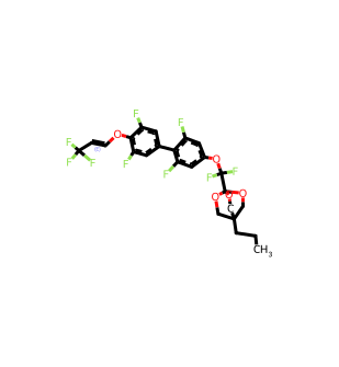 CCCC12COC(C(F)(F)Oc3cc(F)c(-c4cc(F)c(O/C=C/C(F)(F)F)c(F)c4)c(F)c3)(OC1)OC2